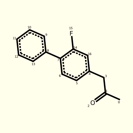 CC(=O)Cc1ccc(-c2ccccc2)c(F)c1